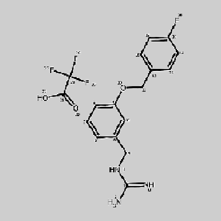 N=C(N)NCc1cccc(OCc2ccc(F)cc2)c1.O=C(O)C(F)(F)F